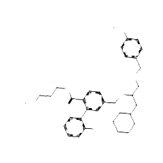 COc1ccc(COCC(CC2CCCCC2)OCc2ccc(C(=O)N[C@@H](CCSC)C(=O)O)c(-c3ccccc3C)c2)cc1